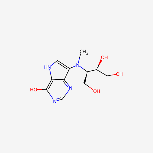 CN(c1c[nH]c2c(O)ncnc12)[C@H](CO)[C@@H](O)CO